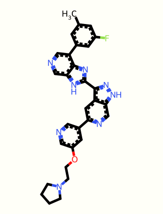 Cc1cc(F)cc(-c2cncc3[nH]c(-c4n[nH]c5cnc(-c6cncc(OCCN7CCCC7)c6)cc45)nc23)c1